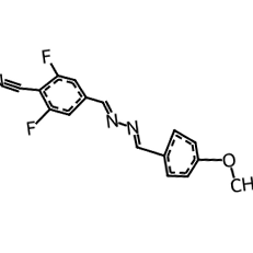 COc1ccc(C=NN=Cc2cc(F)c(C#N)c(F)c2)cc1